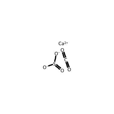 O=C=O.O=S([O-])[O-].[Ca+2]